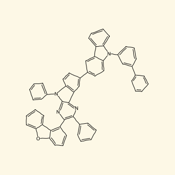 c1ccc(-c2cccc(-n3c4ccccc4c4cc(-c5ccc6c(c5)c5nc(-c7ccccc7)c(-c7cccc8oc9ccccc9c78)nc5n6-c5ccccc5)ccc43)c2)cc1